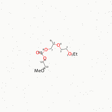 CCOCCOC(C)COC(=O)OCCOC